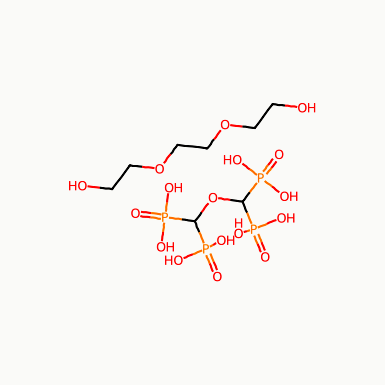 O=P(O)(O)C(OC(P(=O)(O)O)P(=O)(O)O)P(=O)(O)O.OCCOCCOCCO